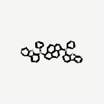 C1=Cc2sc3c(N(c4ccccc4)c4ccc5ccc6c(N(c7ccccc7)c7cccc8c7sc7ccccc78)ccc7ccc4c5c76)cccc3c2CC1